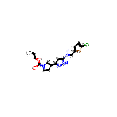 C=CCOC(=O)N1CCC(c2cc(NCc3ccc(Cl)s3)[nH]n2)C1